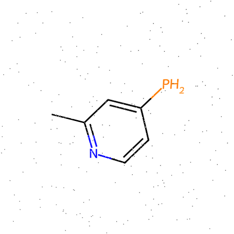 Cc1cc(P)ccn1